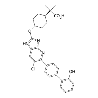 CC(C)(C(=O)O)[C@H]1CC[C@H](Oc2nc3nc(-c4ccc(-c5ccccc5O)cc4)c(Cl)cc3[nH]2)CC1